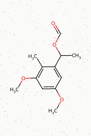 COc1cc(OC)c(C)c(C(C)O[C]=O)c1